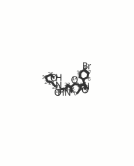 Cc1onc(C2CC=C(Br)CC2)c1C(=O)c1c[nH]c(C(=O)NCC2CCCO2)c1